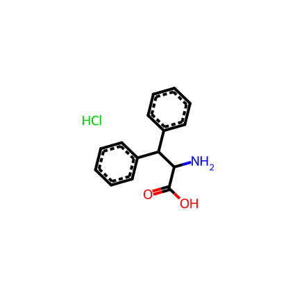 Cl.NC(C(=O)O)C(c1ccccc1)c1ccccc1